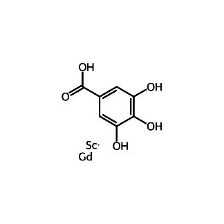 O=C(O)c1cc(O)c(O)c(O)c1.[Gd].[Sc]